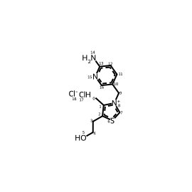 Cc1c(CCO)sc[n+]1Cc1ccc(N)nc1.Cl.[Cl-]